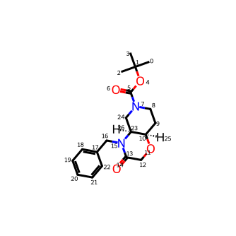 CC(C)(C)OC(=O)N1CC[C@H]2OCC(=O)N(Cc3ccccc3)[C@H]2C1